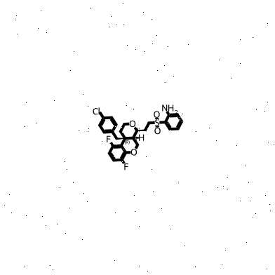 Nc1ccccc1S(=O)(=O)CC[C@@H]1OCC[C@@]2(Cc3ccc(Cl)cc3)c3c(F)ccc(F)c3OC[C@@H]12